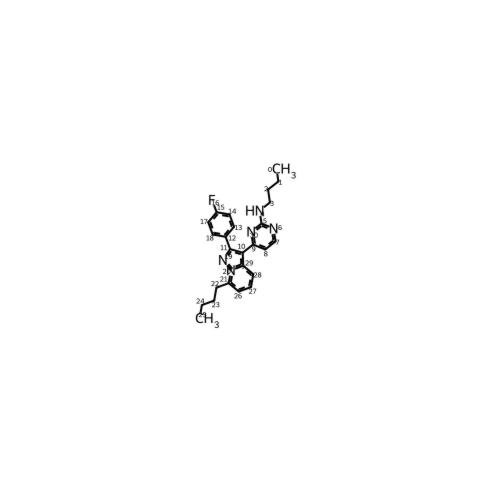 CCCCNc1nccc(-c2c(-c3ccc(F)cc3)nn3c(CCCC)cccc23)n1